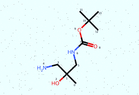 CC(O)(CN)CNC(=O)OC(C)(C)C